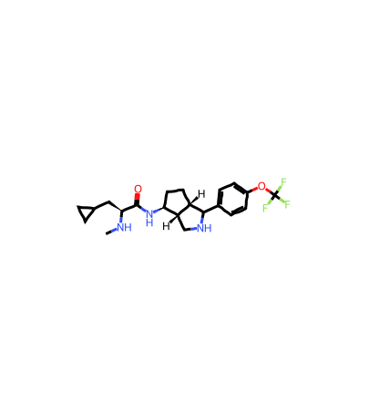 CN[C@@H](CC1CC1)C(=O)N[C@H]1CC[C@@H]2C(c3ccc(OC(F)(F)F)cc3)NC[C@H]12